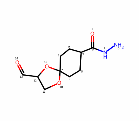 NNC(=O)C1CCC2(CC1)OCC(C=O)O2